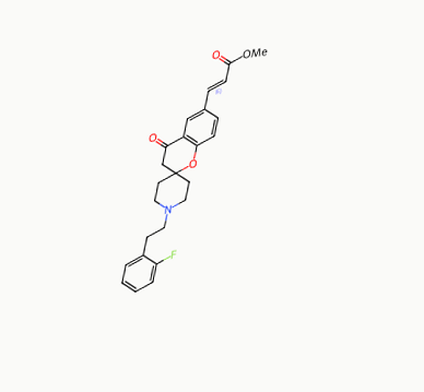 COC(=O)/C=C/c1ccc2c(c1)C(=O)CC1(CCN(CCc3ccccc3F)CC1)O2